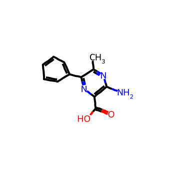 Cc1nc(N)c(C(=O)O)nc1-c1ccccc1